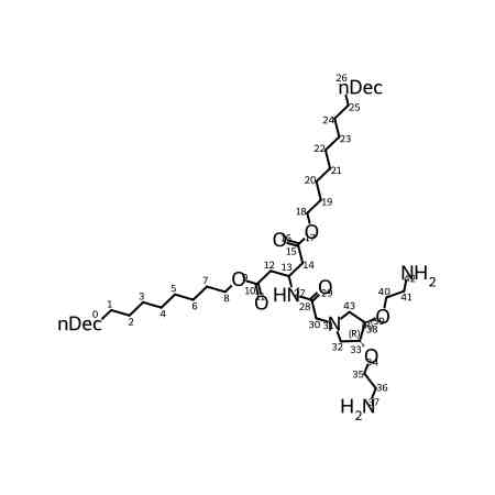 CCCCCCCCCCCCCCCCCCOC(=O)CC(CC(=O)OCCCCCCCCCCCCCCCCCC)NC(=O)CN1C[C@@H](OCCN)[C@H](OCCN)C1